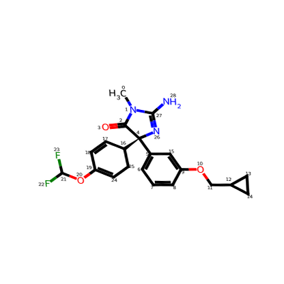 CN1C(=O)[C@](c2cccc(OCC3CC3)c2)(C2C=CC(OC(F)F)=CC2)N=C1N